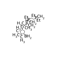 B[C@@H]1C[C@H](OC(C)(C)[PH](=C)CP(=C)(CC)CCP(=C)(CC)CC)[C@@H](C)C1(C)C